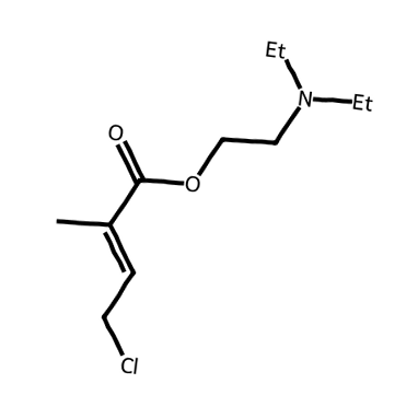 CCN(CC)CCOC(=O)C(C)=CCCl